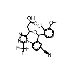 COc1cccc(C2OC(CC(=O)O)c3nnc(C(F)(F)F)n3-c3ccc(C#N)cc32)c1Cl